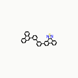 c1cc(-c2cccc(-c3cc4ccccc4c4ccccc34)c2)cc(-c2ccc3c4ccccc4c4nsnc4c3c2)c1